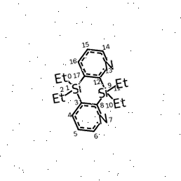 CC[Si]1(CC)c2cccnc2[Si](CC)(CC)c2ncccc21